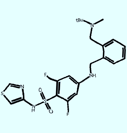 CN(Cc1ccccc1CNc1cc(F)c(S(=O)(=O)Nc2cscn2)c(F)c1)C(C)(C)C